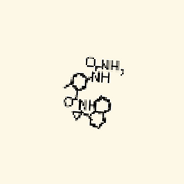 Cc1ccc(NC(N)=O)cc1C(=O)NC1(c2cccc3ccccc23)CC1